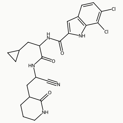 N#CC(CC1CCCNC1=O)NC(=O)C(CC1CC1)NC(=O)c1cc2ccc(Cl)c(Cl)c2[nH]1